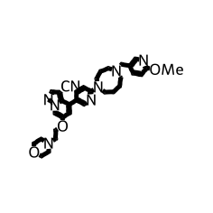 COc1ccc(CN2CCCCN(c3ccc(-c4cc(OCCN5CCOCC5)cn5ncc(C#N)c45)cn3)CCC2)cn1